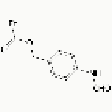 CCC(=O)OCc1ccc(NC=O)cc1